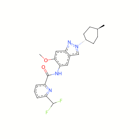 COc1cc2nn([C@H]3CC[C@H](C)CC3)cc2cc1NC(=O)c1cccc(C(F)F)n1